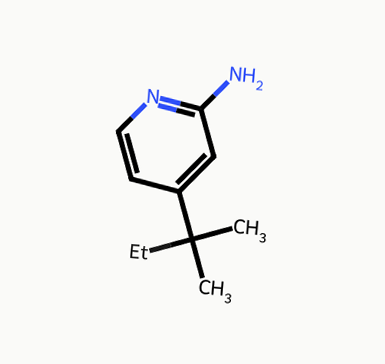 CCC(C)(C)c1ccnc(N)c1